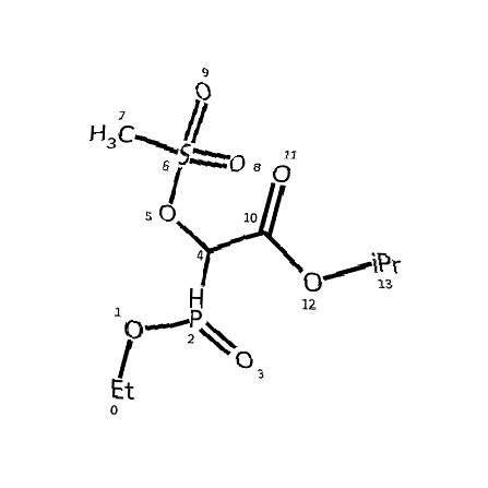 CCO[PH](=O)C(OS(C)(=O)=O)C(=O)OC(C)C